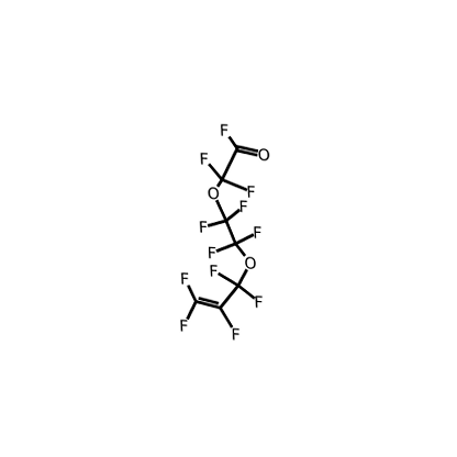 O=C(F)C(F)(F)OC(F)(F)C(F)(F)OC(F)(F)C(F)=C(F)F